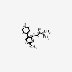 Cc1ncc(C2CCNCC2)c(OC[C@@H](I)N(C)C)n1